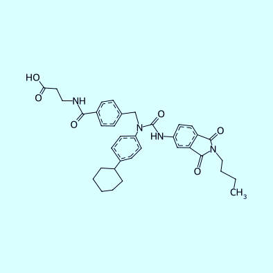 CCCCN1C(=O)c2ccc(NC(=O)N(Cc3ccc(C(=O)NCCC(=O)O)cc3)c3ccc(C4CCCCC4)cc3)cc2C1=O